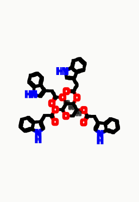 O=C(Cc1c[nH]c2ccccc12)OC1OC[C@H](OC(=O)Cc2c[nH]c3ccccc23)[C@H](OC(=O)Cc2c[nH]c3ccccc23)[C@H]1OC(=O)Cc1c[nH]c2ccccc12